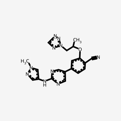 CC(Cn1ncnn1)Oc1cc(-c2cnc(Nc3cnn(C)c3)nc2)ccc1C#N